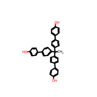 CC(c1ccc(-c2ccc(O)cc2)cc1)(c1ccc(-c2ccc(O)cc2)cc1)c1ccc(-c2ccc(O)cc2)cc1